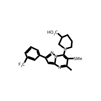 CSc1c(C)nc2cc(-c3cccc(C(F)(F)F)c3)nn2c1N1CCCC(C(=O)O)C1